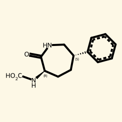 O=C(O)N[C@@H]1CC[C@@H](c2ccccc2)CNC1=O